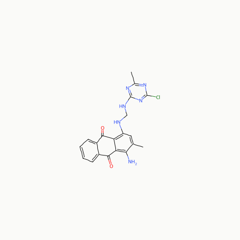 Cc1nc(Cl)nc(NCNc2cc(C)c(N)c3c2C(=O)c2ccccc2C3=O)n1